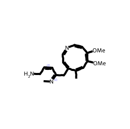 C/N=C(\C=C/CN)Cc1ccnccc(OC)c(OC)cc1C